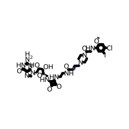 COc1cc(Cl)c(I)cc1NCC(=O)N1CCN(C/C=C/C(=O)NCCNc2c(NC[C@H]3O[C@@H](n4cnc5c(=O)[nH]c(N)nc54)C(O)C3O)c(=O)c2=O)CC1